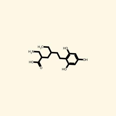 CCC(CCc1c(O)cc(O)cc1O)CC(CN)C(=O)O